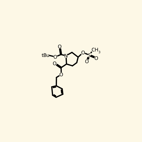 CC(C)(C)OC(=O)N1CC(OS(C)(=O)=O)CCC1C(=O)OCc1ccccc1